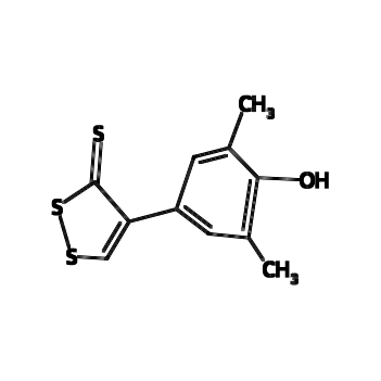 Cc1cc(-c2cssc2=S)cc(C)c1O